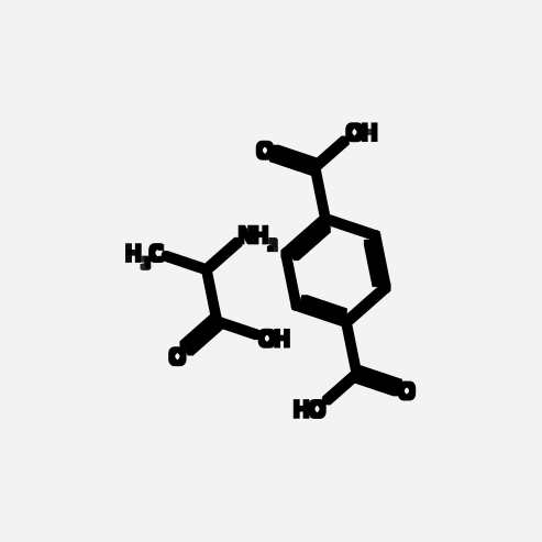 CC(N)C(=O)O.O=C(O)c1ccc(C(=O)O)cc1